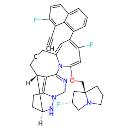 C#Cc1c(F)ccc2cccc(C3=C(F)C=C(OC[C@@]45CCCN4C[C@H](F)C5)N4C(=C3)CCC[C@@H]3C5=C6CC[C@@H]3NN6CN=C54)c12